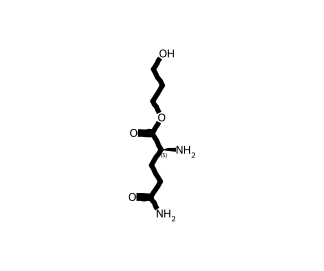 NC(=O)CC[C@H](N)C(=O)OCCCO